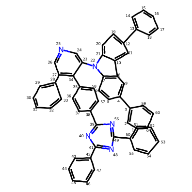 c1ccc(-c2ccc3c(c2)c2cc(-c4ccccc4)ccc2n3-c2cncc(-c3ccccc3)c2-c2ccc(-c3nc(-c4ccccc4)nc(-c4ccccc4)n3)cc2)cc1